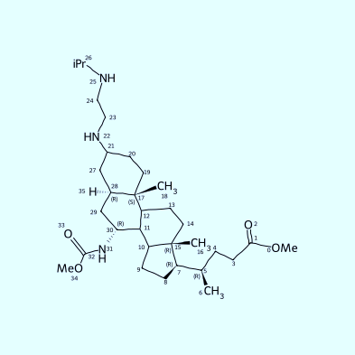 COC(=O)CC[C@@H](C)[C@H]1CCC2C3C(CC[C@@]21C)[C@@]1(C)CCC(NCCNC(C)C)C[C@@H]1C[C@H]3NC(=O)OC